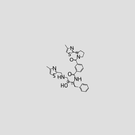 Cc1csc(CNC[C@H](O)[C@H](Cc2ccccc2)NC(=O)c2cccc(C(=O)N3CCC[C@@H]3c3nc(C)cs3)c2)n1